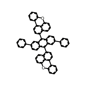 c1ccc(-c2ccc3c(-c4ccc5c6c(cccc46)Oc4ccccc4-5)c4cc(-c5ccccc5)ccc4c(-c4ccc5c6c(cccc46)Oc4ccccc4-5)c3c2)cc1